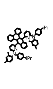 Cc1ccc(N(c2ccc(C(C)C)cc2)c2cccc(-c3c4ccccc4c(-c4cccc(N(c5ccc(C(C)C)cc5)c5ccc(C)cc5C)n4)c4c5ccccc5c5ccccc5c34)n2)c(C)c1